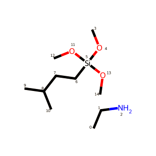 CCN.CO[Si](CCC(C)C)(OC)OC